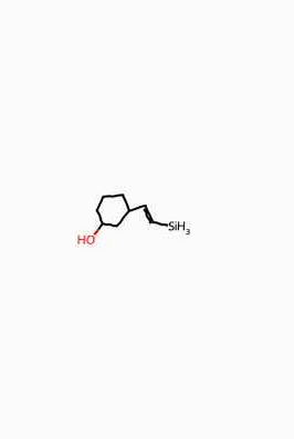 OC1CCCC(C=C[SiH3])C1